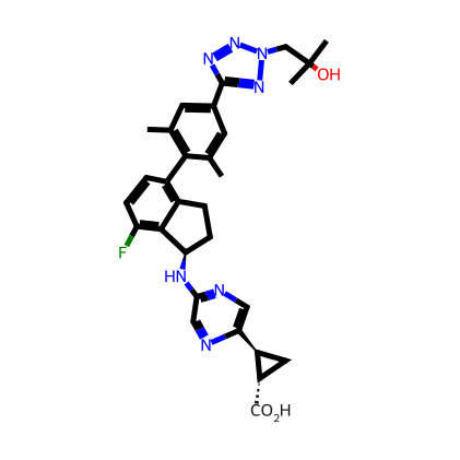 Cc1cc(-c2nnn(CC(C)(C)O)n2)cc(C)c1-c1ccc(F)c2c1CC[C@H]2Nc1cnc([C@H]2C[C@@H]2C(=O)O)cn1